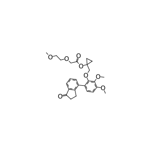 COCCOCC(=O)OC1(COc2c(-c3cccc4c3CCC4=O)ccc(OC)c2OC)CC1